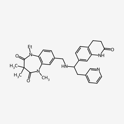 CCN1C(=O)C(C)(C)C(=O)N(C)c2cc(CNC(Cc3cccnc3)c3ccc4c(c3)NC(=O)CC4)ccc21